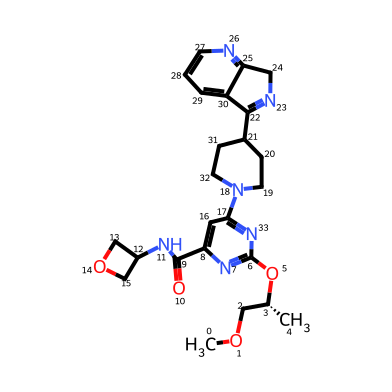 COC[C@@H](C)Oc1nc(C(=O)NC2COC2)cc(N2CCC(C3=NCc4ncccc43)CC2)n1